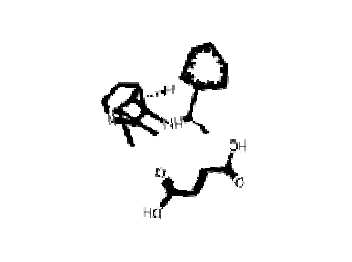 C[C@@H](N[C@@H]1C2CCN(CC2)C1(C)C)c1ccccc1.O=C(O)C=CC(=O)O